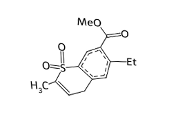 CCc1cc2c(cc1C(=O)OC)S(=O)(=O)C(C)=CC2